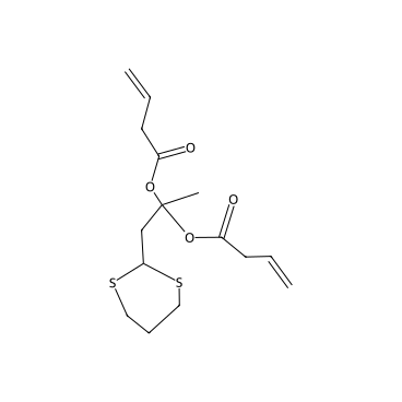 C=CCC(=O)OC(C)(CC1SCCCS1)OC(=O)CC=C